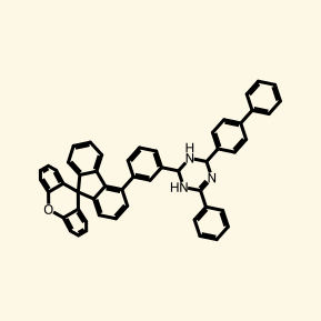 c1ccc(C2=NC(c3ccc(-c4ccccc4)cc3)NC(c3cccc(-c4cccc5c4-c4ccccc4C54c5ccccc5Oc5ccccc54)c3)N2)cc1